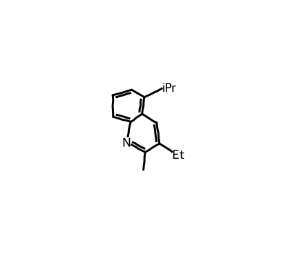 CCc1cc2c(C(C)C)cccc2nc1C